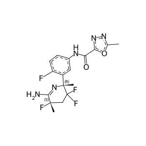 Cc1nnc(C(=O)Nc2ccc(F)c([C@@]3(C)N=C(N)[C@@](C)(F)CC3(F)F)c2)o1